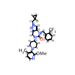 COc1nccc(C)c1N1CCC(N2Cc3nn(CC4(F)CC4)cc3N(Cc3ccccc3C(F)(F)F)C2=O)CC1